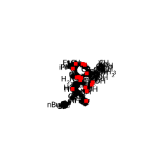 CCCCOc1ccc(CCNC(=O)Oc2cc(O)c3c(c2)[C@@H](C(=O)CC2C4CC5CC(C4)CC2C5)NC(=O)[C@H]2NC(=O)[C@H](CC(=O)[C@@H]4NC(=O)[C@H](CC(N)=O)CC(=O)[C@H](NC(=O)[C@H](CC)CC(C)C)[C@H](O)c5ccc(c(Cl)c5)Oc5cc4cc(c5O[C@@H]4O[C@H](CO)[C@@H](O)[C@H](O)[C@H]4O[C@H]4C[C@](C)(N)[C@H](O)[C@H](C)O4)Oc4ccc(cc4Cl)[C@H]2O)c2ccc(O)c-3c2)cc1